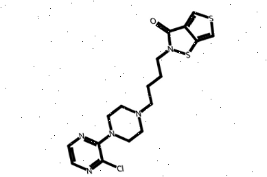 O=c1c2cscc2sn1CCCCN1CCN(c2nccnc2Cl)CC1